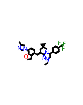 CCN1CC(c2ccc(C(F)(F)F)cc2)N2CC3(CC3)C/C(=C\c3ccc(-n4cnc(C)c4)c4c3CCO4)C2=N1